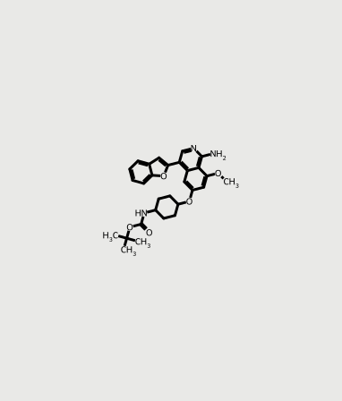 COc1cc(OC2CCC(NC(=O)OC(C)(C)C)CC2)cc2c(-c3cc4ccccc4o3)cnc(N)c12